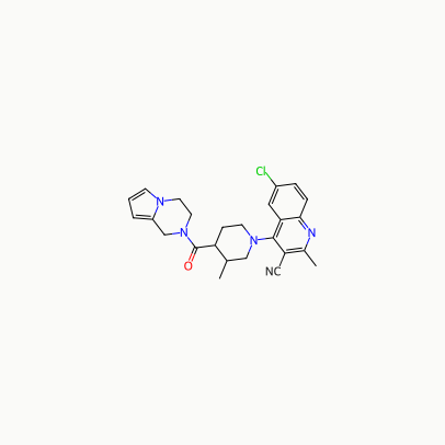 Cc1nc2ccc(Cl)cc2c(N2CCC(C(=O)N3CCn4cccc4C3)C(C)C2)c1C#N